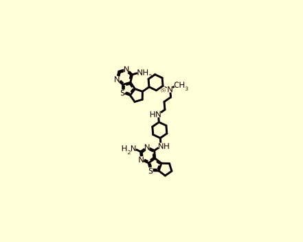 CN(CCCNC1CCC(Nc2nc(N)nc3sc4c(c23)CCC4)CC1)[C@H]1CCCC(C2CCc3sc4ncnc(N)c4c32)C1